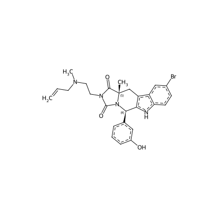 C=CCN(C)CCN1C(=O)N2[C@H](c3cccc(O)c3)c3[nH]c4ccc(Br)cc4c3C[C@@]2(C)C1=O